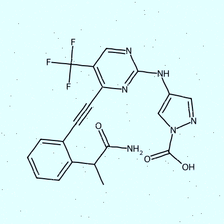 CC(C(N)=O)c1ccccc1C#Cc1nc(Nc2cnn(C(=O)O)c2)ncc1C(F)(F)F